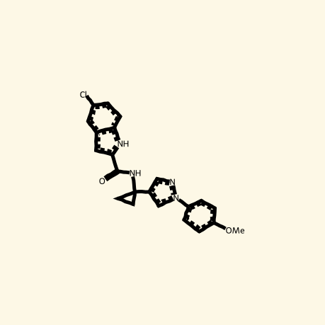 COc1ccc(-n2cc(C3(NC(=O)c4cc5cc(Cl)ccc5[nH]4)CC3)cn2)cc1